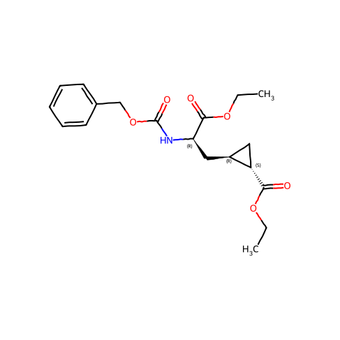 CCOC(=O)[C@H]1C[C@@H]1C[C@@H](NC(=O)OCc1ccccc1)C(=O)OCC